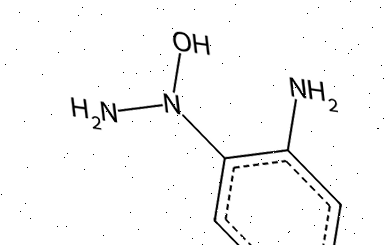 Nc1ccccc1N(N)O